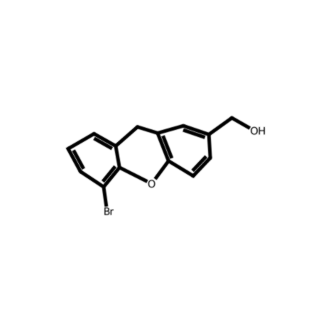 OCc1ccc2c(c1)Cc1cccc(Br)c1O2